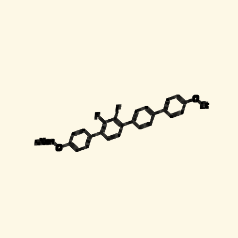 CCCCCCCCCOc1ccc(-c2ccc(-c3ccc(-c4ccc(OCC)cc4)cc3)c(F)c2F)cc1